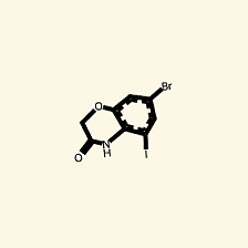 O=C1COc2cc(Br)cc(I)c2N1